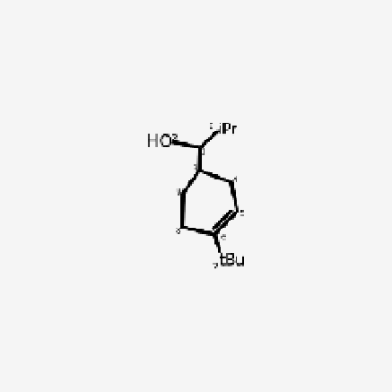 CC(C)C(O)C1CC=C(C(C)(C)C)CC1